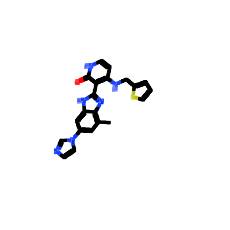 Cc1cc(-n2ccnc2)cc2[nH]c(-c3c(NCc4cccs4)cc[nH]c3=O)nc12